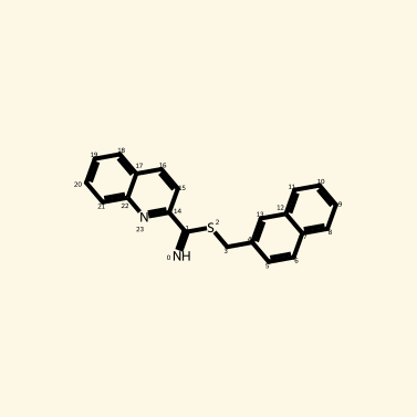 N=C(SCc1ccc2ccccc2c1)c1ccc2ccccc2n1